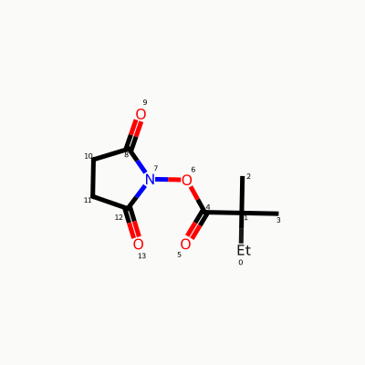 CCC(C)(C)C(=O)ON1C(=O)CCC1=O